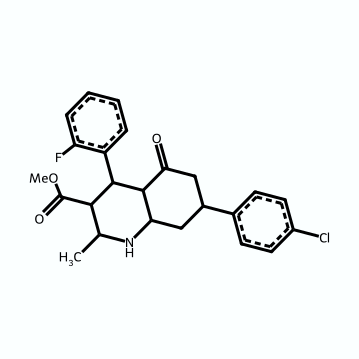 COC(=O)C1C(C)NC2CC(c3ccc(Cl)cc3)CC(=O)C2C1c1ccccc1F